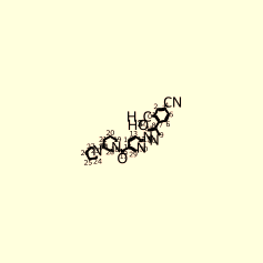 Cc1cc(C#N)ccc1-c1cnn(-c2ccc(C(=O)N3CCC[C@@H](N4CCCC4)C3)cn2)c1O